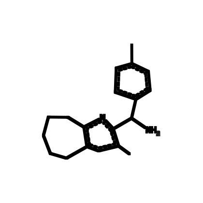 Cc1ccc(C(N)c2nc3c(cc2C)CCCCC3)cc1